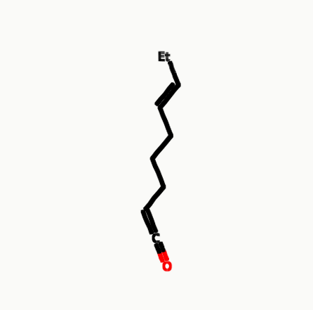 CCC=CCCCC=C=O